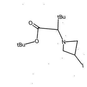 CC(C)(C)OC(=O)C(N1CC(I)C1)C(C)(C)C